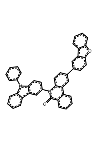 O=c1c2ccccc2c2cc(-c3ccc4oc5ccccc5c4c3)ccc2n1-c1ccc2c(c1)c1ccccc1n2-c1ccccc1